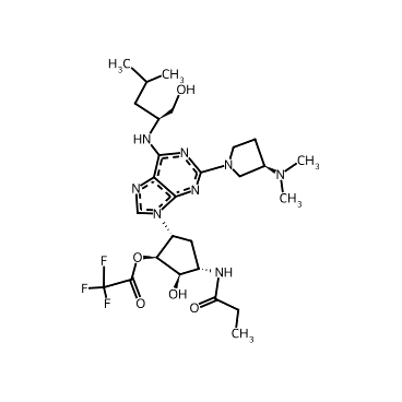 CCC(=O)N[C@H]1C[C@@H](n2cnc3c(N[C@H](CO)CC(C)C)nc(N4CC[C@@H](N(C)C)C4)nc32)[C@H](OC(=O)C(F)(F)F)[C@@H]1O